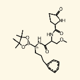 COCC(NC(=O)C1CCC(=O)N1)C(=O)N[C@@H](CCCc1ccccc1)B1OC(C)(C)C(C)(C)O1